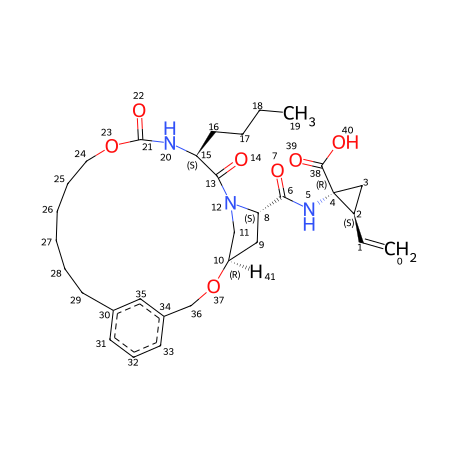 C=C[C@@H]1C[C@]1(NC(=O)[C@@H]1C[C@@H]2CN1C(=O)[C@H](CCCC)NC(=O)OCCCCCCc1cccc(c1)CO2)C(=O)O